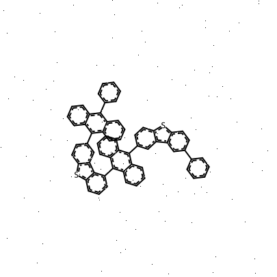 c1ccc(-c2ccc3sc4ccc(-c5c6ccccc6c(-c6cccc7sc8ccc(-c9c%10ccccc%10c(-c%10ccccc%10)c%10ccccc9%10)cc8c67)c6ccccc56)cc4c3c2)cc1